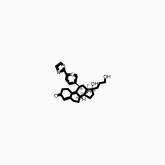 C[C@@]12C[C@H](c3ccc(-c4nccs4)cc3)C3=C4CCC(=O)C=C4CC[C@H]3[C@@H]1CC[C@]2(O)CCCO